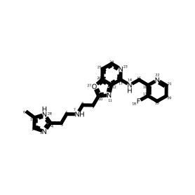 Cc1cnc(CCNCCc2nc3c(NCC4=C(F)CCC=N4)nccc3o2)[nH]1